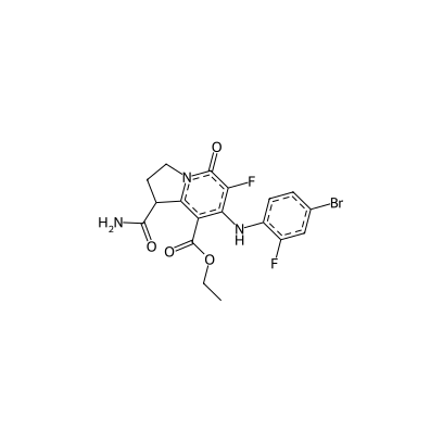 CCOC(=O)c1c(Nc2ccc(Br)cc2F)c(F)c(=O)n2c1C(C(N)=O)CC2